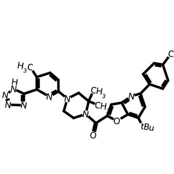 Cc1ccc(N2CCN(C(=O)c3cc4nc(-c5ccc(Cl)cc5)cc(C(C)(C)C)c4o3)C(C)(C)C2)nc1-c1nnn[nH]1